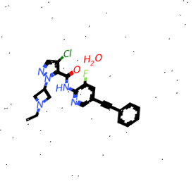 CCN1CC(n2ncc(Cl)c2C(=O)Nc2ncc(C#Cc3ccccc3)cc2F)C1.O